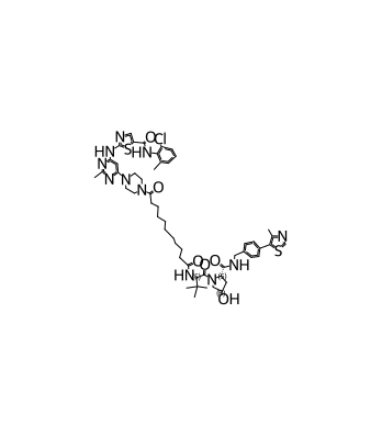 Cc1nc(Nc2ncc(C(=O)Nc3c(C)cccc3Cl)s2)cc(N2CCN(C(=O)CCCCCCCCCC(=O)N[C@H](C(=O)N3C[C@H](O)C[C@H]3C(=O)NCc3ccc(-c4scnc4C)cc3)C(C)(C)C)CC2)n1